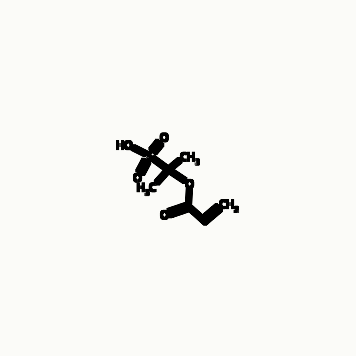 C=CC(=O)OC(C)(C)S(=O)(=O)O